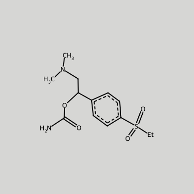 CCS(=O)(=O)c1ccc(C(CN(C)C)OC(N)=O)cc1